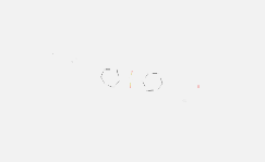 CC(=O)O[C@H](CCl)COc1ccc(S(=O)(=O)c2ccc(OC[C@@H](O)CO)cc2)cc1